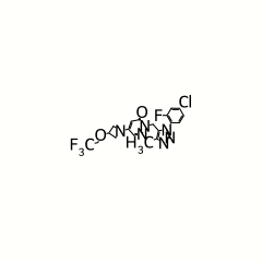 Cc1nnn(-c2ccc(Cl)cc2F)c1Cn1ncc(N2CC(OCC(F)(F)F)C2)cc1=O